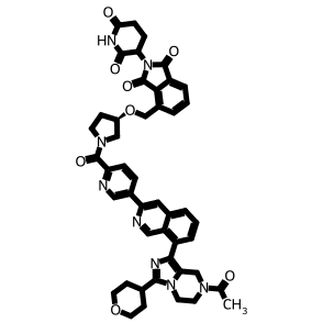 CC(=O)N1CCn2c(C3CCOCC3)nc(-c3cccc4cc(-c5ccc(C(=O)N6CC[C@@H](OCc7cccc8c7C(=O)N(C7CCC(=O)NC7=O)C8=O)C6)nc5)ncc34)c2C1